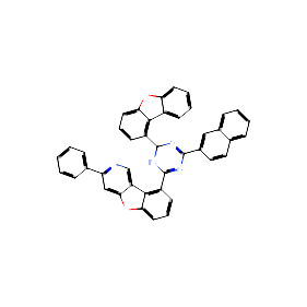 c1ccc(-c2cc3oc4cccc(C5=NC(c6ccc7ccccc7c6)=NC(c6cccc7oc8ccccc8c67)N5)c4c3cn2)cc1